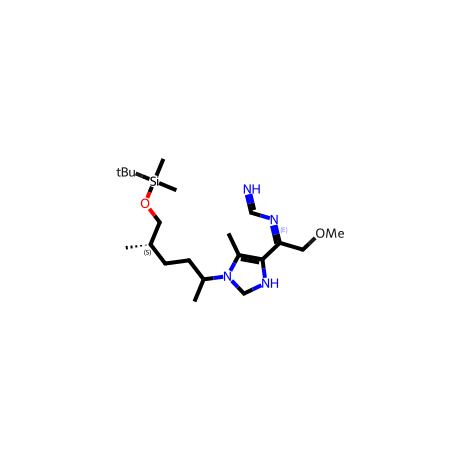 COC/C(=N/C=N)C1=C(C)N(C(C)CC[C@H](C)CO[Si](C)(C)C(C)(C)C)CN1